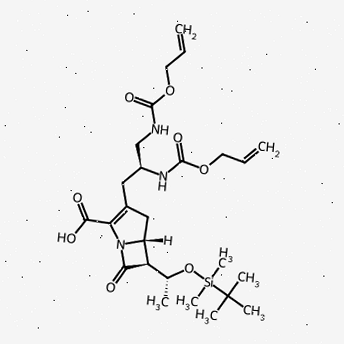 C=CCOC(=O)NC[C@H](CC1=C(C(=O)O)N2C(=O)[C@H]([C@@H](C)O[Si](C)(C)C(C)(C)C)[C@H]2C1)NC(=O)OCC=C